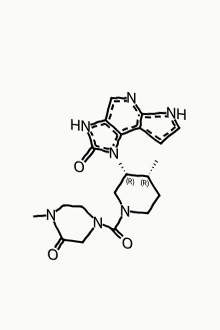 C[C@@H]1CCN(C(=O)N2CCN(C)C(=O)C2)C[C@@H]1n1c(=O)[nH]c2cnc3[nH]ccc3c21